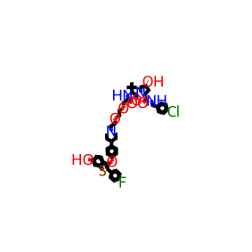 CC(C)(C)[C@H](NC(=O)COCCOCCN1CCC(c2ccc(Oc3c(-c4ccc(F)cc4)sc4cc(O)ccc34)cc2)CC1)C(=O)N1C[C@H](O)C[C@H]1C(=O)NCc1ccc(Cl)cc1